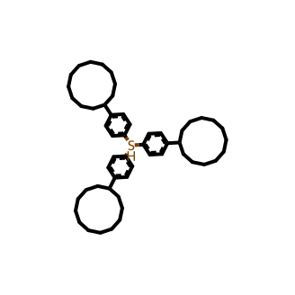 c1cc([SH](c2ccc(C3CCCCCCCCCCC3)cc2)c2ccc(C3CCCCCCCCCCC3)cc2)ccc1C1CCCCCCCCCCC1